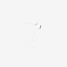 CCCCCCCCCCCCCCCn1cc[n+](CCCCCCCCCC)c1CCCCC